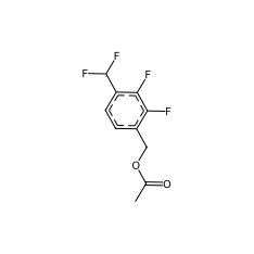 CC(=O)OCc1ccc([C](F)F)c(F)c1F